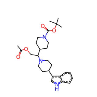 CC(=O)OCC(C1CCN(C(=O)OC(C)(C)C)CC1)N1CCC(c2c[nH]c3ccccc23)CC1